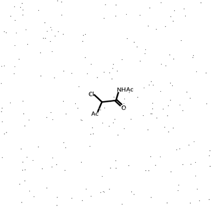 CC(=O)NC(=O)C(Cl)C(C)=O